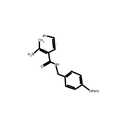 CCCCCc1ccc(CNC(=O)C(/C=C\C(C)C)=C(/C)N)cc1